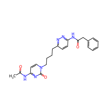 CC(=O)Nc1ccn(CCCCc2ccc(NC(=O)Cc3ccccc3)nn2)c(=O)n1